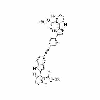 CC(C)(C)OC(=O)N1[C@@H]2CC[C@@H](C2)[C@H]1c1ncc(-c2ccc(C#Cc3ccc4[nH]c([C@@H]5[C@H]6CC[C@H](C6)N5C(=O)OC(C)(C)C)nc4c3)cc2)[nH]1